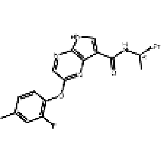 CC(C)[C@@H](C)NC(=O)c1c[nH]c2ncc(Oc3ccc(F)cc3F)nc12